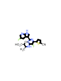 C[C@H](Nc1nc(-c2c[nH]c3ncc(F)cc23)nc(-c2ccc(C#N)s2)c1F)[C@H](C)C(=O)O